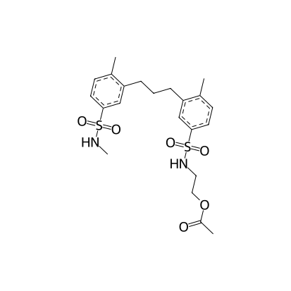 CNS(=O)(=O)c1ccc(C)c(CCCc2cc(S(=O)(=O)NCCOC(C)=O)ccc2C)c1